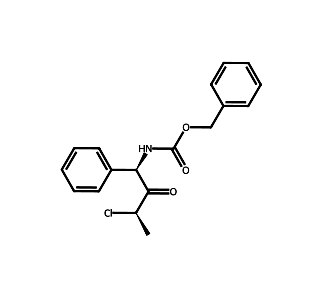 C[C@@H](Cl)C(=O)[C@H](NC(=O)OCc1ccccc1)c1ccccc1